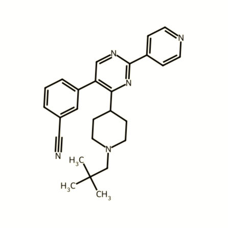 CC(C)(C)CN1CCC(c2nc(-c3ccncc3)ncc2-c2cccc(C#N)c2)CC1